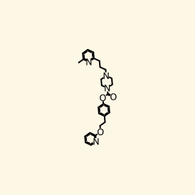 Cc1cccc(CCCN2CCN(C(=O)Oc3ccc(CCOc4ccccn4)cc3)CC2)n1